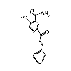 NC(=O)c1cc(C(=O)/C=C/c2ccccc2)ccc1O